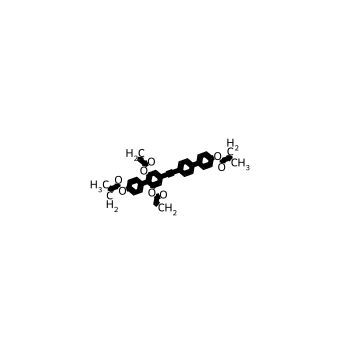 C=CC(=O)Oc1cc(C#Cc2ccc(-c3ccc(OC(=O)C(=C)C)cc3)cc2)cc(OC(=O)C=C)c1-c1ccc(OC(=O)C(=C)C)cc1